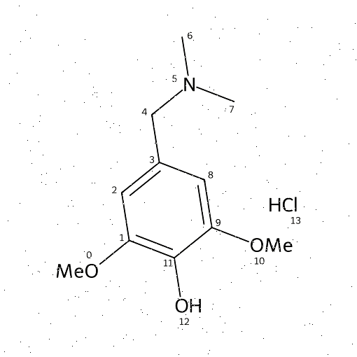 COc1cc(CN(C)C)cc(OC)c1O.Cl